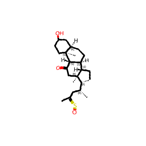 CC(C[C@@H](C)[C@H]1CC[C@H]2[C@@H]3CC[C@@H]4CC(O)CC[C@]4(C)[C@H]3C(=O)C[C@]12C)=S=O